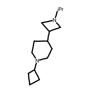 CC(C)N1CC(C2CCN(C3CCC3)CC2)C1